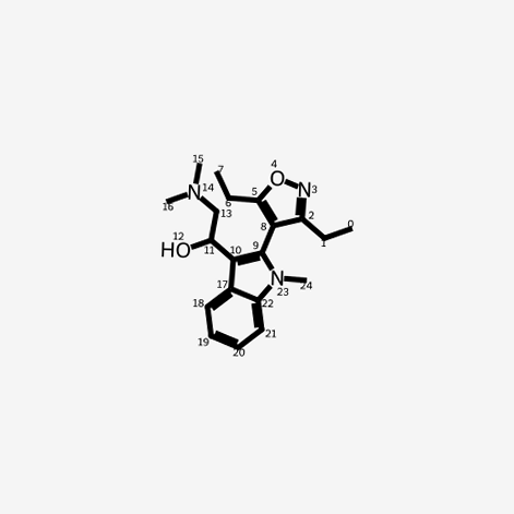 CCc1noc(CC)c1-c1c(C(O)CN(C)C)c2ccccc2n1C